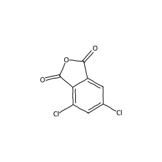 O=C1OC(=O)c2c(Cl)cc(Cl)cc21